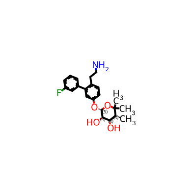 C[C@@H]1[C@@H](O)[C@@H](O)[C@H](Oc2ccc(CCN)c(-c3cccc(F)c3)c2)OC1(C)C